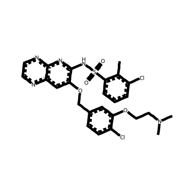 Cc1c(Cl)cccc1S(=O)(=O)Nc1nc2nccnc2cc1OCc1ccc(Cl)c(OCCN(C)C)c1